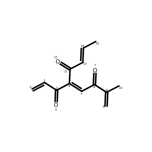 C=CC(=O)C(=CC(=O)C(=C)C)C(=O)C=CC